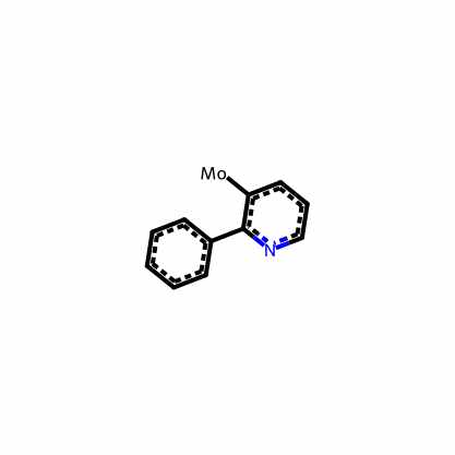 [Mo][c]1cccnc1-c1ccccc1